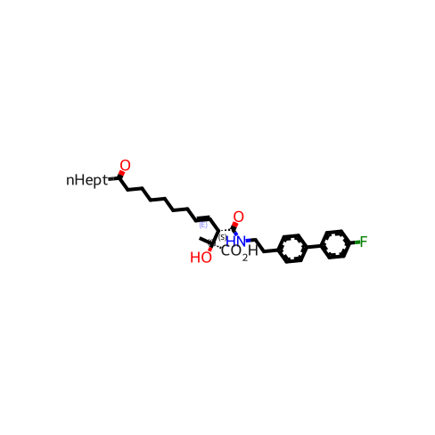 CCCCCCCC(=O)CCCCCC/C=C/[C@H](C(=O)NCCc1ccc(-c2ccc(F)cc2)cc1)[C@](C)(O)C(=O)O